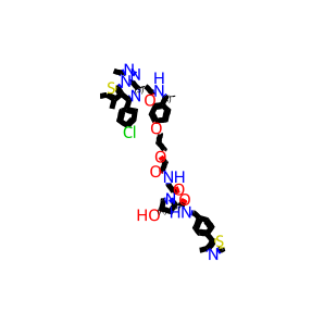 Cc1ncsc1-c1ccc(CNC(=O)[C@@H]2C[C@@H](O)CN2C(=O)CNC(=O)COCCCOc2ccc([C@@H](C)NC(=O)C[C@@H]3N=C(c4ccc(Cl)cc4)c4c(sc(C)c4C)-n4c(C)nnc43)cc2)cc1